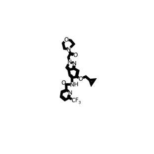 O=C(Nc1cc2cn(CC(=O)N3CCOCC3)nc2cc1OCC1CC1)c1cccc(C(F)(F)F)n1